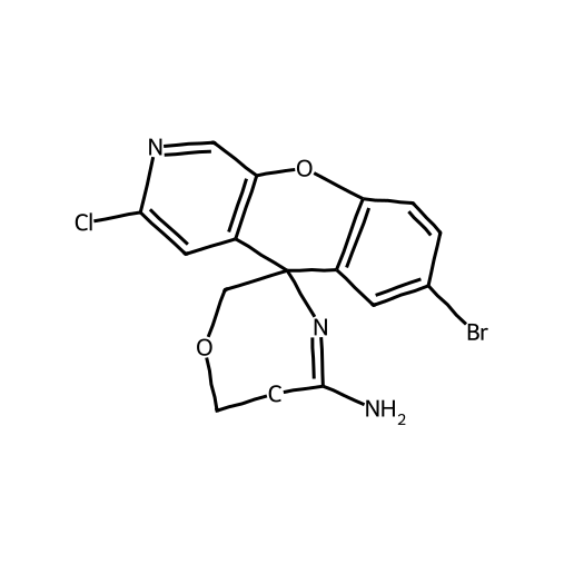 NC1=NC2(COCC1)c1cc(Br)ccc1Oc1cnc(Cl)cc12